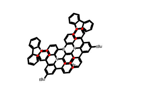 CC(C)c1cc2c3c(c1)N(c1c(-c4ccccc4)cc(C(C)(C)C)cc1-c1ccccc1)c1cc(-n4c5ccccc5c5ccccc54)ccc1B3c1ccc(-n3c4ccccc4c4ccccc43)cc1N2c1c(-c2ccccc2)cc(C(C)(C)C)cc1-c1ccccc1